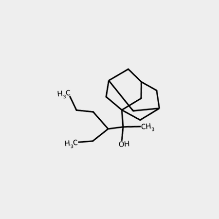 CCCC(CC)C(C)(O)C12CC3CC(CC(C3)C1)C2